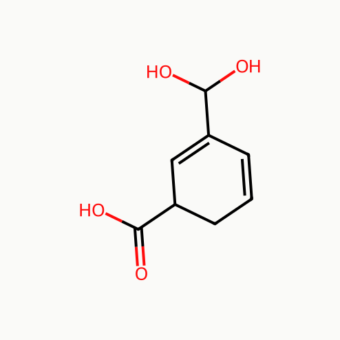 O=C(O)C1C=C(C(O)O)C=CC1